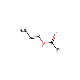 CC(C)C(=O)OC=C[SiH3]